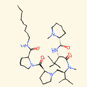 CCCCCCNC(=O)C1CCCN1C(=O)[C@@H]1CCCN1C[C@H](C(C)C)N(C)C(=O)[C@@H](NC(=O)[C@H]1CCCCN1C)C(C)(C)C